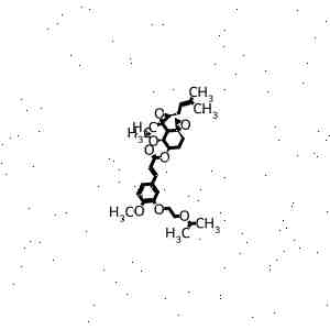 COc1ccc(/C=C/C(=O)O[C@@H]2CC[C@]3(CO3)C(C3(C)O[C@H]3CC=C(C)C)[C@@H]2OC)cc1OCCOC(C)C